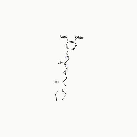 COc1ccc(/C=C/C(Cl)=N/OCC(O)CN2CCOCC2)cc1OC